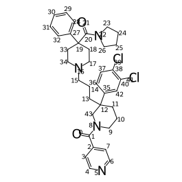 O=C(c1ccncc1)N1CCCC(CCCN2CCC(C(=O)N3CCCC3)(c3ccccc3)CC2)(c2ccc(Cl)c(Cl)c2)C1